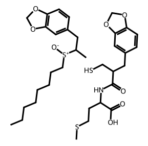 CCCCCCCC[S+]([O-])C(C)Cc1ccc2c(c1)OCO2.CSCCC(NC(=O)C(CS)Cc1ccc2c(c1)OCO2)C(=O)O